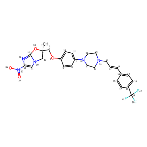 C[C@]1(COc2ccc(N3CCN(C/C=C/c4ccc(C(F)(F)F)cc4)CC3)cc2)Cn2cc([N+](=O)[O-])nc2O1